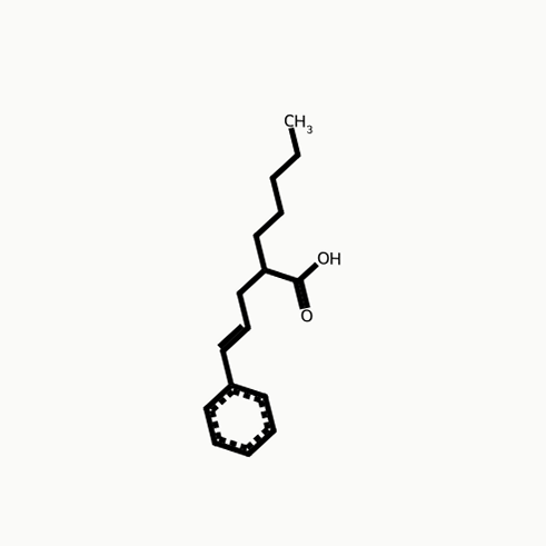 CCCCCC(CC=Cc1ccccc1)C(=O)O